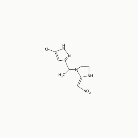 CC(c1cc(Cl)[nH]n1)N1CCNC1=C[N+](=O)[O-]